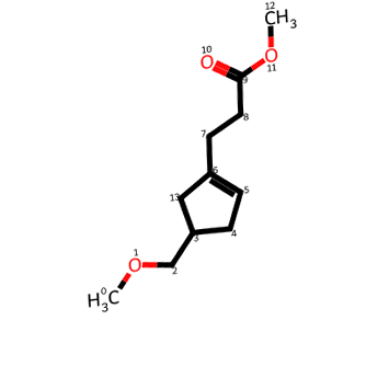 COCC1CC=C(CCC(=O)OC)C1